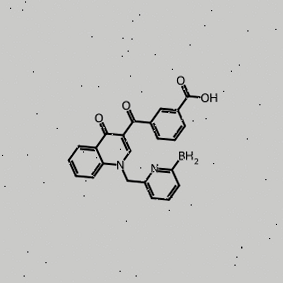 Bc1cccc(Cn2cc(C(=O)c3cccc(C(=O)O)c3)c(=O)c3ccccc32)n1